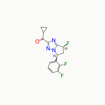 O=C(c1nc2n(n1)[C@H](c1cccc(F)c1F)C[C@@H]2F)C1CC1